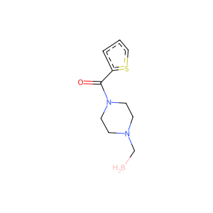 BCN1CCN(C(=O)c2cccs2)CC1